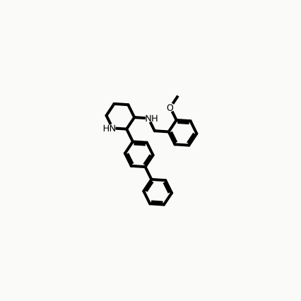 COc1ccccc1CNC1CCCNC1c1ccc(-c2ccccc2)cc1